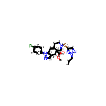 CCCn1ncc(SN2CCC3=Cc4c(cnn4-c4ccc(F)cc4)CC3(C(=O)OC)C2)n1